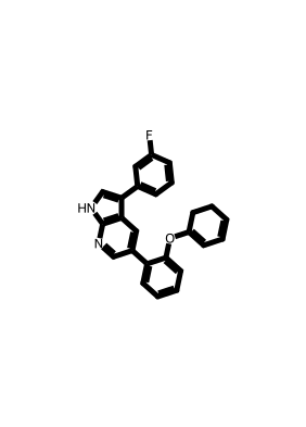 Fc1cccc(-c2c[nH]c3ncc(-c4ccccc4OC4=CC=CCC4)cc23)c1